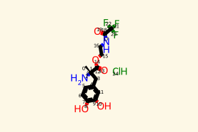 C[C@](N)(Cc1ccc(O)c(O)c1)C(=O)OCCNC(=O)C(F)(F)F.Cl